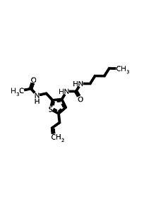 C=CCc1cc(NC(=O)NCCCCC)c(CNC(C)=O)s1